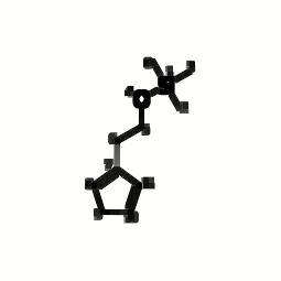 C[Si](C)(C)OCCC1=CC[C]=C1